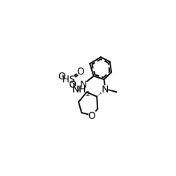 CN(c1ccccc1[N+](=O)[O-])[C@H]1CCCOC1.N[SH](=O)=O